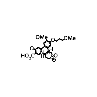 COCCCOc1cc2c(cc1OC)-c1cc(=O)c(C(=O)O)cn1[C@H]1CCS(=O)(=O)C[C@H]21